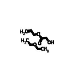 C=CCOC(=O)CO.CCOCC